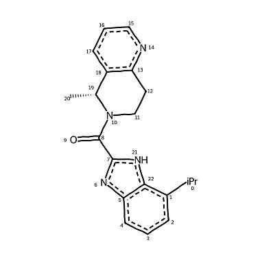 CC(C)c1cccc2nc(C(=O)N3CCc4ncccc4[C@H]3C)[nH]c12